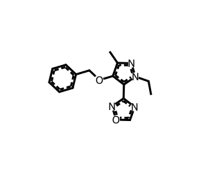 CCn1nc(C)c(OCc2ccccc2)c1-c1ncon1